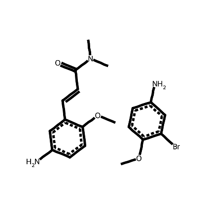 COc1ccc(N)cc1Br.COc1ccc(N)cc1C=CC(=O)N(C)C